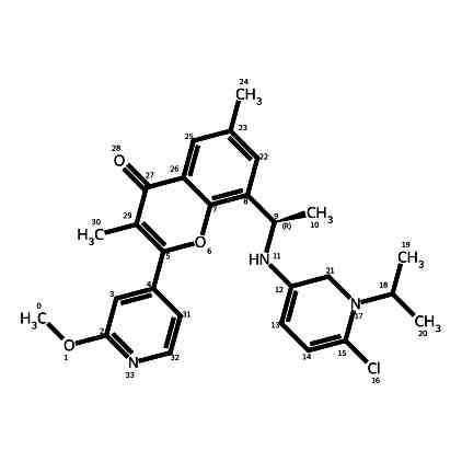 COc1cc(-c2oc3c([C@@H](C)NC4=CC=C(Cl)N(C(C)C)C4)cc(C)cc3c(=O)c2C)ccn1